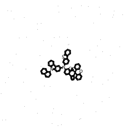 c1ccc2c(c1)Oc1ccccc1C21c2ccccc2-c2ccc(N(c3ccc4c(c3)sc3ccccc34)c3ccc4c(c3)c3ccccc3n4-c3cccc4ccccc34)c3cccc1c23